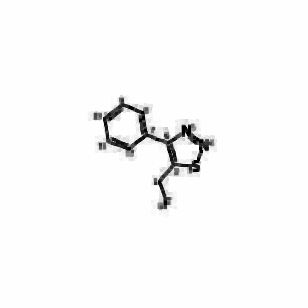 FCc1snnc1-c1ccccc1